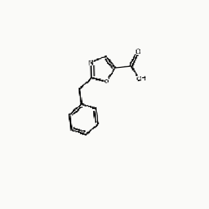 O=C(O)c1cnc(Cc2ccccc2)o1